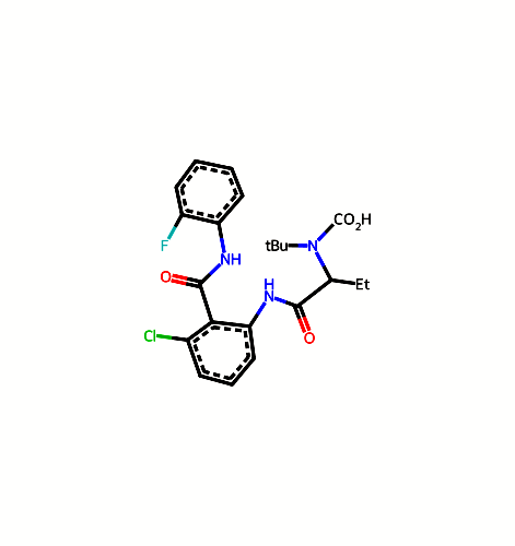 CCC(C(=O)Nc1cccc(Cl)c1C(=O)Nc1ccccc1F)N(C(=O)O)C(C)(C)C